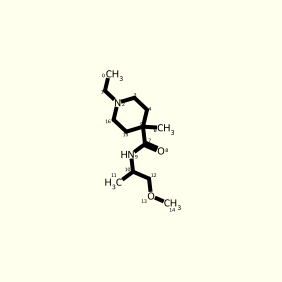 CCN1CCC(C)(C(=O)NC(C)COC)CC1